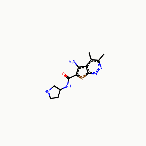 Cc1nnc2sc(C(=O)NC3CCNC3)c(N)c2c1C